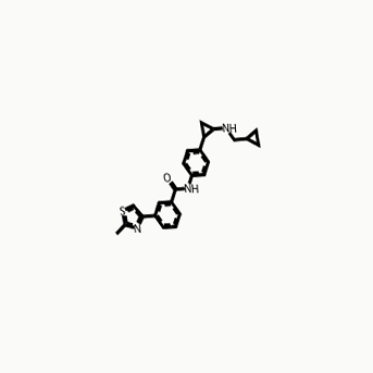 Cc1nc(-c2cccc(C(=O)Nc3ccc(C4CC4NCC4CC4)cc3)c2)cs1